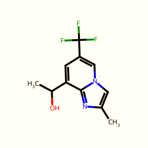 Cc1cn2cc(C(F)(F)F)cc(C(C)O)c2n1